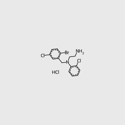 Cl.NCCN(Cc1cc(Cl)ccc1Br)c1ccccc1Cl